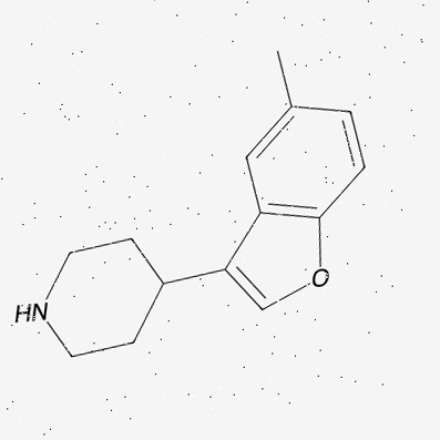 Cc1ccc2occ(C3CCNCC3)c2c1